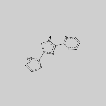 c1ccc(-c2nc(-c3ncc[nH]3)c[nH]2)nc1